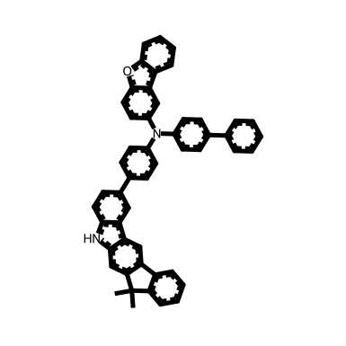 CC1(C)c2ccccc2-c2cc3c(cc21)[nH]c1ccc(-c2ccc(N(c4ccc(-c5ccccc5)cc4)c4ccc5oc6ccccc6c5c4)cc2)cc13